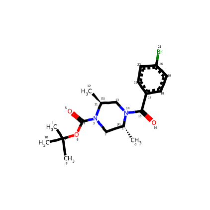 C[C@@H]1CN(C(=O)OC(C)(C)C)[C@@H](C)CN1C(=O)c1ccc(Br)cc1